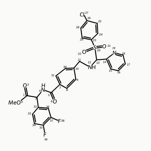 COC(=O)C(NC(=O)c1ccc(CNC(c2ccccn2)S(=O)(=O)c2ccc(Cl)cc2)cc1)c1ccc(F)c(F)c1